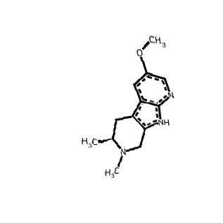 COc1cnc2[nH]c3c(c2c1)C[C@H](C)N(C)C3